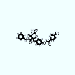 CCc1ccc(C(=O)COc2ccc(CC3(C(=O)OCc4ccccc4)CSC(=O)NC3=O)cc2)nc1